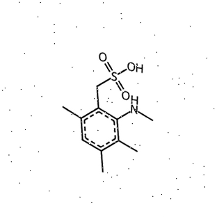 CNc1c(C)c(C)cc(C)c1CS(=O)(=O)O